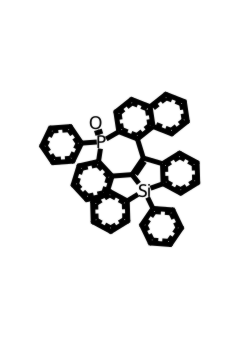 O=P1(c2ccccc2)c2ccccc2C2=C(c3ccccc3[Si]2(c2ccccc2)c2ccccc2)c2c1ccc1ccccc21